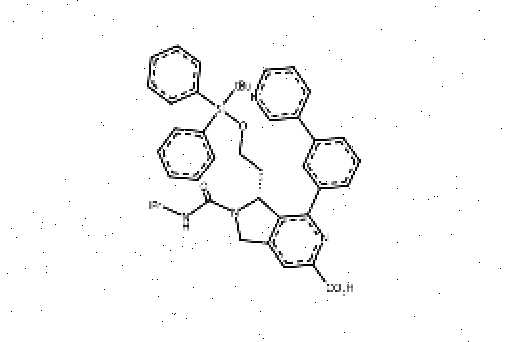 CC(C)NC(=O)N1Cc2cc(C(=O)O)nc(-c3cccc(-c4cccnc4)c3)c2[C@H]1CCO[Si](c1ccccc1)(c1ccccc1)C(C)(C)C